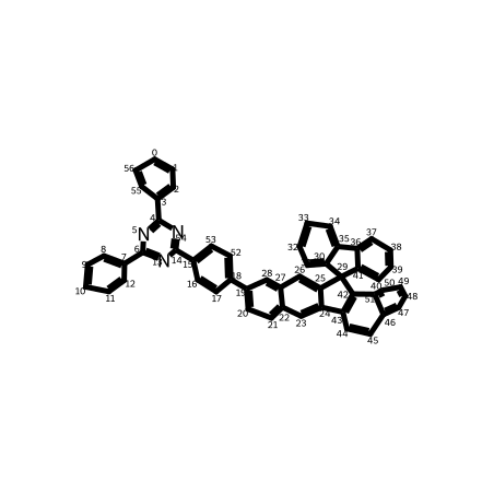 c1ccc(-c2nc(-c3ccccc3)nc(-c3ccc(-c4ccc5cc6c(cc5c4)C4(c5ccccc5-c5ccccc54)c4c-6ccc5ccccc45)cc3)n2)cc1